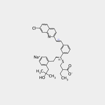 CCC(CS[C@@H](CCc1ccccc1CC(C)(C)O)c1cccc(/C=C/c2ccc3ccc(Cl)cc3n2)c1)C(=O)[O-].[Na+]